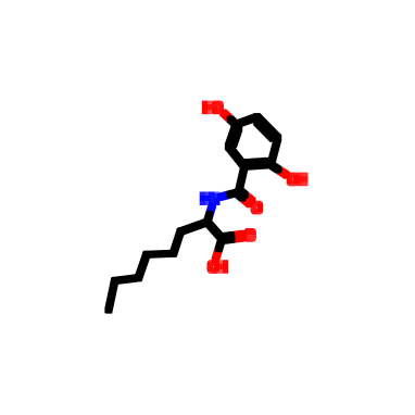 CCCCCCC(NC(=O)c1cc(O)ccc1O)C(=O)O